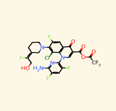 Nc1nc(-n2cc(C(=O)OC(=O)C(F)(F)F)c(=O)c3cc(F)c(N4CCC/C(=C(\F)CO)C4)c(Cl)c32)c(F)cc1F